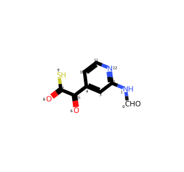 O=CNc1cc(C(=O)C(=O)S)ccn1